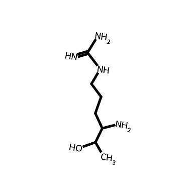 CC(O)C(N)CCCNC(=N)N